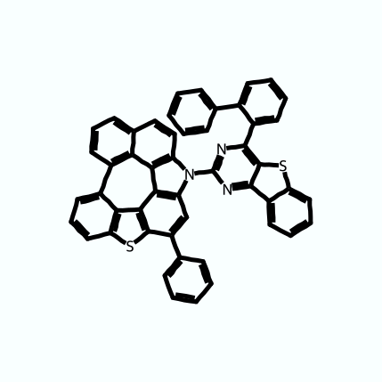 c1ccc(-c2ccccc2-c2nc(-n3c4ccc5cccc6c5c4c4c5c(sc7cccc-6c75)c(-c5ccccc5)cc43)nc3c2sc2ccccc23)cc1